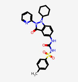 Cc1ccc(S(=O)(=O)NC(=O)Nc2ccc3c(c2)c(=O)n(-c2ccccn2)n3C2CCCCC2)cc1